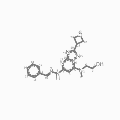 CN(CCO)c1cc(N/N=C/c2ccccc2)nc2nc(C3COC3)nn12